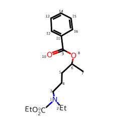 CCOC(=O)N(CC)CCCC(C)OC(=O)c1ccccc1